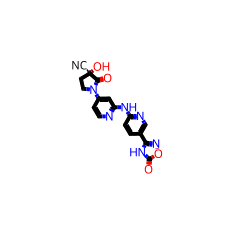 N#C[C@@]1(O)CCN(c2ccnc(Nc3ccc(-c4noc(=O)[nH]4)cn3)c2)C1=O